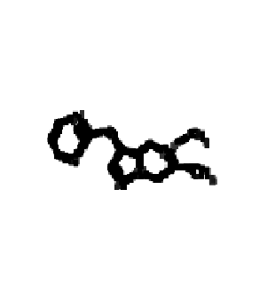 C[C@H]1Cn2ncc(Oc3ncccn3)c2CN1C